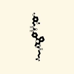 COc1ccc(OC)c(CCNC(=O)Nc2ccc(C3Cc4cnc(NCCCCN(C)C)nc4-c4ccccc43)cc2)c1